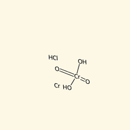 Cl.[Cr].[O]=[Cr](=[O])([OH])[OH]